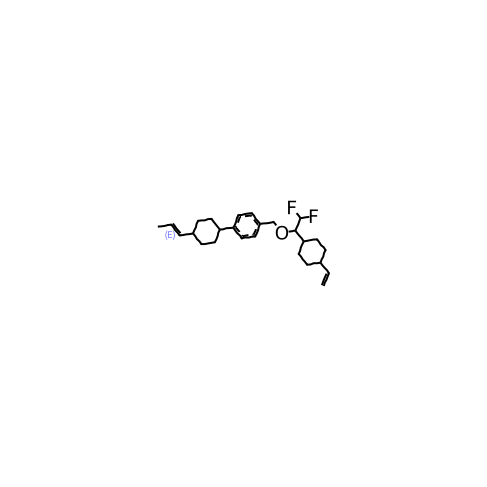 C=CC1CCC(C(OCc2ccc(C3CCC(/C=C/C)CC3)cc2)C(F)F)CC1